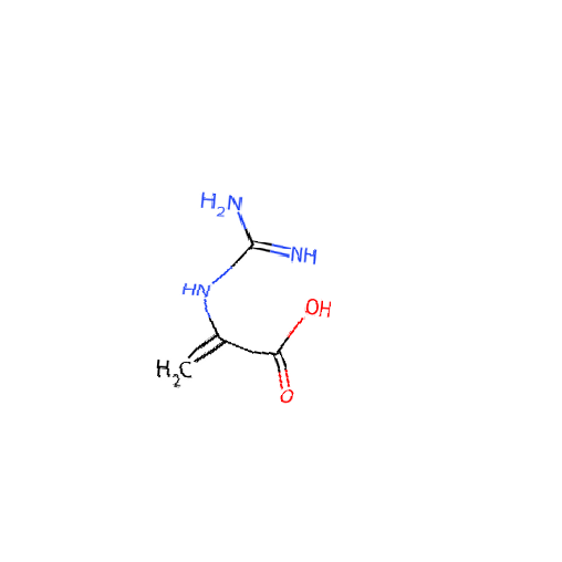 C=C(NC(=N)N)C(=O)O